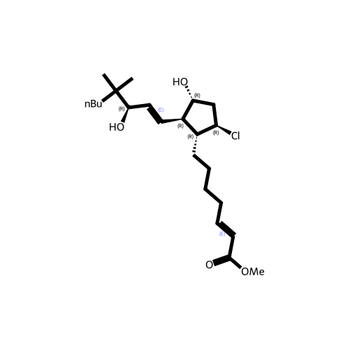 CCCCC(C)(C)[C@H](O)/C=C/[C@@H]1[C@@H](CCCC/C=C/C(=O)OC)[C@H](Cl)C[C@H]1O